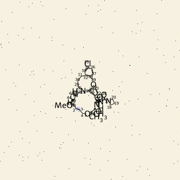 CO[C@H]1/C=C/COC(C)(C)C(=O)N=[S@](=O)(NC(=O)N2CCC2)c2ccc3c(c2)N(CCCCc2cc(Cl)ccc2CO3)C[C@@H]2CC[C@H]21